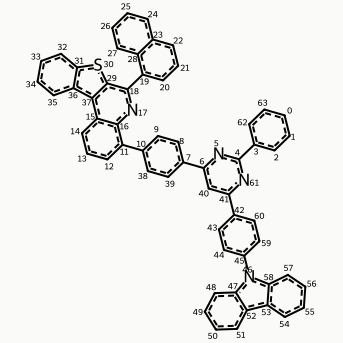 c1ccc(-c2nc(-c3ccc(-c4cccc5c4nc(-c4cccc6ccccc46)c4sc6ccccc6c45)cc3)cc(-c3ccc(-n4c5ccccc5c5ccccc54)cc3)n2)cc1